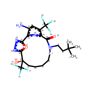 CC(C)(C)CCN1CCCCC[C@](O)(C(F)(F)F)c2nnc(o2)-c2nc(c(C(F)(F)F)cc2N)C1=O